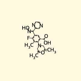 Cc1c(F)c(C(=NO)c2cnccn2)cc(C(=O)O)c1N1C[C@@H](C)O[C@@H](C)C1